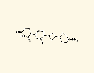 NN1CCC(C2CN(c3ccc(C4CCC(=O)NC4=O)cc3F)C2)CC1